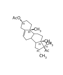 CC(=O)O[C@H]1CC[C@@]2(C)C(=CCC3C2CC[C@@]2(C)C3C[C@@H](C)[C@]2(C)C(C)=O)C1